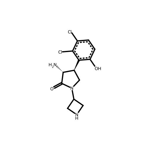 N[C@H]1C(=O)N(C2CNC2)C[C@@H]1c1c(O)ccc(Cl)c1Cl